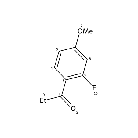 CCC(=O)c1ccc(OC)cc1F